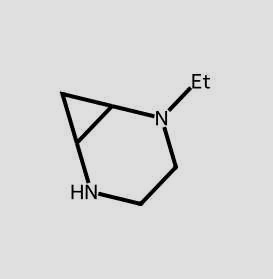 CCN1CCNC2CC21